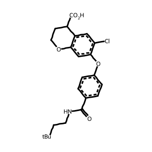 CC(C)(C)CCNC(=O)c1ccc(Oc2cc3c(cc2Cl)C(C(=O)O)CCO3)cc1